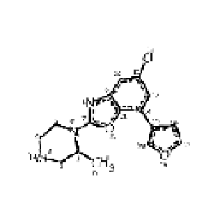 CC1CNCCN1c1nc2cc(Cl)cc(-c3ccoc3)c2o1